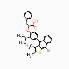 Cc1sc2c(Br)c3ccccc3c(-c3ccc(OC(Cc4ccccc4)C(=O)O)c(C(C)C)c3)c2c1C